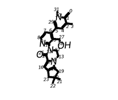 C=C1C(C)=CC(c2ccnc(N3CCn4c(cc5c4CC(C)(C)C5)C3=O)c2CO)=CN1C